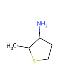 CC1SCCC1N